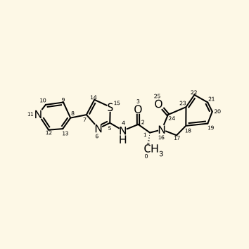 C[C@H](C(=O)Nc1nc(-c2ccncc2)cs1)N1Cc2ccccc2C1=O